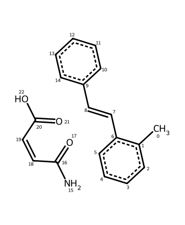 Cc1ccccc1/C=C/c1ccccc1.NC(=O)/C=C\C(=O)O